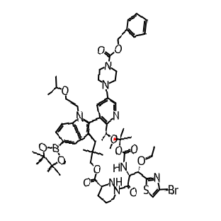 CCO[C@H](c1nc(Br)cs1)[C@H](NC(=O)OC(C)(C)C)C(=O)N1CCC[C@@H](C(=O)OCC(C)(C)Cc2c(-c3cc(N4CCN(C(=O)OCc5ccccc5)CC4)cnc3[C@H](C)OC)n(CCOC(C)C)c3ccc(B4OC(C)(C)C(C)(C)O4)cc23)N1